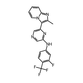 Cc1nc2ccccn2c1-c1cncc(Nc2ccc(C(F)(F)F)c(F)c2)n1